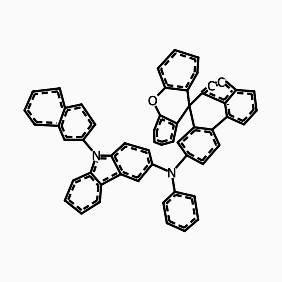 c1ccc(N(c2ccc3c(c2)C2(c4ccccc4Oc4ccccc42)c2cccc4cccc-3c24)c2ccc3c(c2)c2ccccc2n3-c2ccc3ccccc3c2)cc1